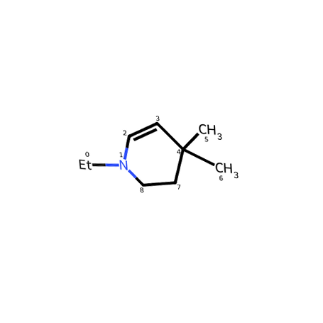 CCN1C=CC(C)(C)CC1